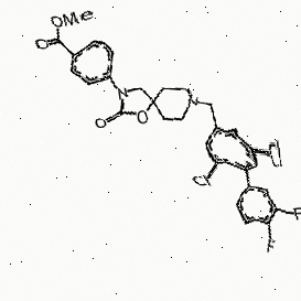 COC(=O)c1ccc(N2CC3(CCN(Cc4cc(Cl)c(-c5ccc(F)c(F)c5)c(Cl)c4)CC3)OC2=O)cc1